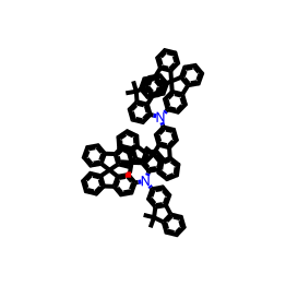 CC1(C)c2ccccc2-c2ccc(N(c3ccc4c(c3)C3(c5ccccc5-c5ccc(CC6(C)c7ccccc7-c7ccc(N(c8ccc9c(c8)C8(c%10ccccc%10-c%10ccccc%108)c8ccccc8-9)c8cccc9c8-c8ccccc8C9(C)C)cc76)cc53)c3ccccc3-4)c3cccc4c3C(C)(C)c3ccccc3-4)cc21